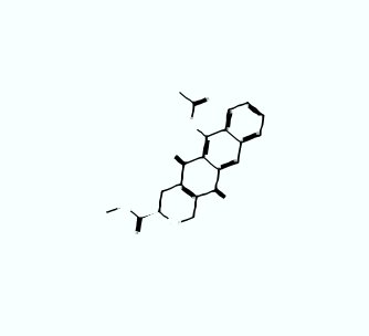 COC(=O)[C@H]1CC2=C(C(=O)c3cc4ccccc4c(OC(C)=O)c3C2=O)[C@H](O)O1